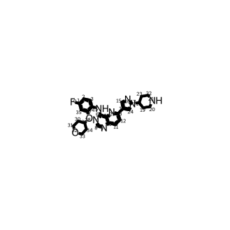 Fc1ccc(Nc2ncnc3ccc(-c4cnn(C5CCNCC5)c4)nc23)c(OC2CCOCC2)c1